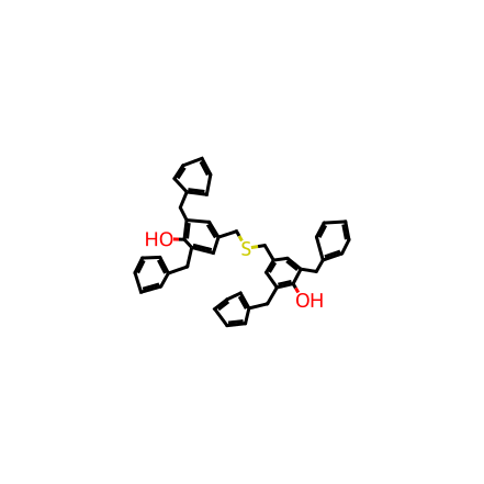 Oc1c(Cc2ccccc2)cc(CSCc2cc(Cc3ccccc3)c(O)c(Cc3ccccc3)c2)cc1Cc1ccccc1